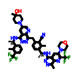 Cc1c([C@@H](C)Nc2nnc(Cc3ccc([C@@H](C)Nc4nnc(C)c5nc(C(F)(F)F)c(N6CCOCC6)cc45)c(C)c3C#N)c3ncc(N4CCC(C)(O)CC4)cc23)cccc1C(F)(F)F